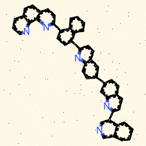 c1ccc2c(-c3ccc4ccc(-c5ccc6nc(-c7ccc(-c8ccc9ccc%10cccnc%10c9n8)c8ccccc78)ccc6c5)cc4n3)cncc2c1